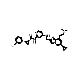 CN(C)CCc1cc(C2CC2)cn2cc(CNc3ccnc(NC(=O)[C@H]4C[C@@H]4c4cccc(Cl)c4)c3)nc12